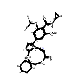 COc1cc(-c2cnc3n2/C=C\C(=N)OCC2(CCCCC2)N3)cc(OC(F)F)c1C(=O)NC1CC1